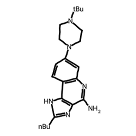 CCCCc1nc2c(N)nc3cc(N4CCN(C(C)(C)C)CC4)ccc3c2[nH]1